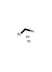 CC(=O)CC(C)=O.[Pt].[Pt]